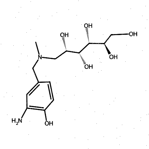 CN(Cc1ccc(O)c(N)c1)C[C@H](O)[C@@H](O)[C@H](O)[C@H](O)CO